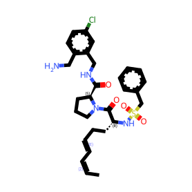 C/C=C\C=C\CC[C@@H](NS(=O)(=O)Cc1ccccc1)C(=O)N1CCC[C@H]1C(=O)NCc1cc(Cl)ccc1CN